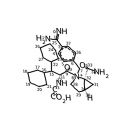 N=C(N)c1ccc(C[N+]2(C(=O)[C@H](NCC(=O)O)C(C3CCCCC3)C3CCCCC3)CC[C@@H]3C[C@@]32C(N)=O)cc1